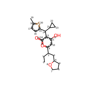 CCC(CC1CCCO1)c1cc(O)c(C(c2ccc(C)s2)C2CC2)c(=O)o1